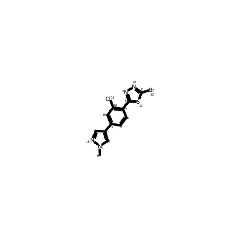 Cn1cc(-c2ccc(-c3nnc(Br)s3)c(Cl)c2)cn1